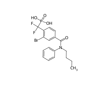 CCCCN(C(=O)c1ccc(C(F)(F)P(=O)(O)O)c(Br)c1)c1ccccc1